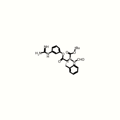 CC(C)(C)OC(=O)N(NC=O)[C@H](Cc1ccccc1)C(=O)Oc1cccc(NC(=N)N)c1